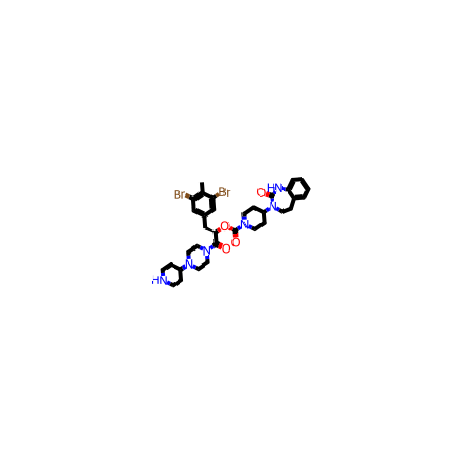 Cc1c(Br)cc(C[C@@H](OC(=O)N2CCC(N3CCc4ccccc4NC3=O)CC2)C(=O)N2CCN(C3CCNCC3)CC2)cc1Br